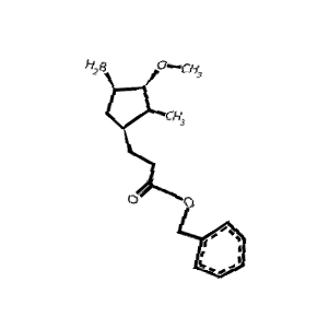 B[C@@H]1C[C@H](CCC(=O)OCc2ccccc2)C(C)[C@@H]1OC